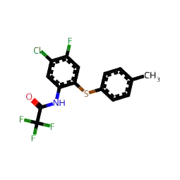 Cc1ccc(Sc2cc(F)c(Cl)cc2NC(=O)C(F)(F)F)cc1